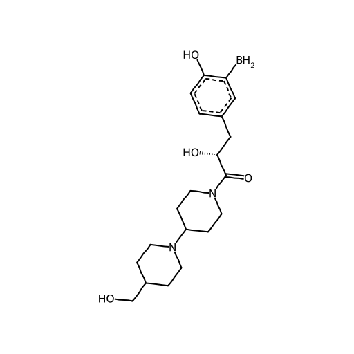 Bc1cc(C[C@@H](O)C(=O)N2CCC(N3CCC(CO)CC3)CC2)ccc1O